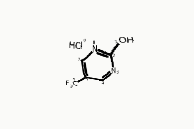 Cl.Oc1ncc(C(F)(F)F)cn1